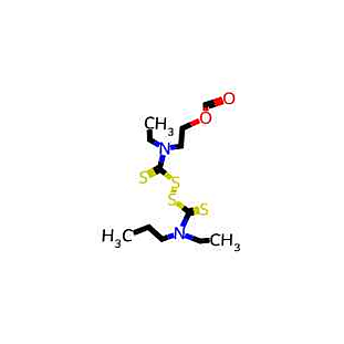 CCCN(CC)C(=S)SSC(=S)N(CC)CCOC=O